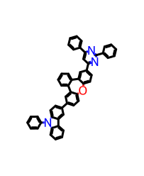 c1ccc(-c2cc(-c3ccc4c(c3)-c3ccccc3-c3cc(-c5ccc6c(c5)c5ccccc5n6-c5ccccc5)ccc3O4)nc(-c3ccccc3)n2)cc1